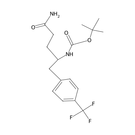 CC(C)(C)OC(=O)NC(CCC(N)=O)Cc1ccc(C(F)(F)F)cc1